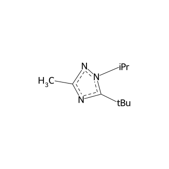 Cc1nc(C(C)(C)C)n(C(C)C)n1